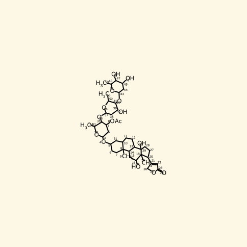 CC(=O)OC1CC(OC2CCC3(C)C(CCC4C3CC(O)C3(C)C(C5=CC(=O)OC5)CCC43O)C2)OC(C)C1OC1CC(O)C(OC2CC(O)C(O)C(C)O2)C(C)O1